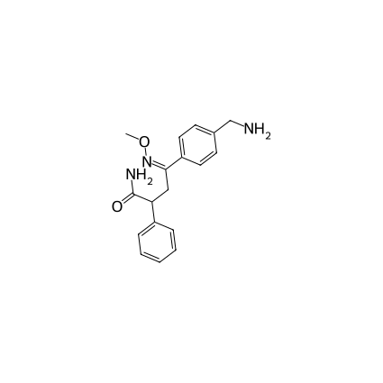 CON=C(CC(C(N)=O)c1ccccc1)c1ccc(CN)cc1